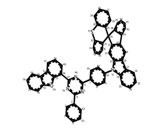 c1ccc(-c2nc(-c3ccc(-n4c5ccccc5c5cc6c(cc54)C4(c5ccccc5Sc5ccccc54)c4ccccc4-6)cc3)nc(-c3cccc4c3oc3ccccc34)n2)cc1